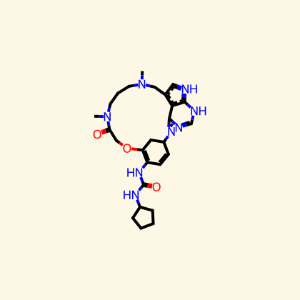 CN1CCCN(C)C(=O)COC2=C(NC(=O)NC3CCCC3)C=CC(C2)/N=C2\N=CNc3[nH]cc(c32)C1